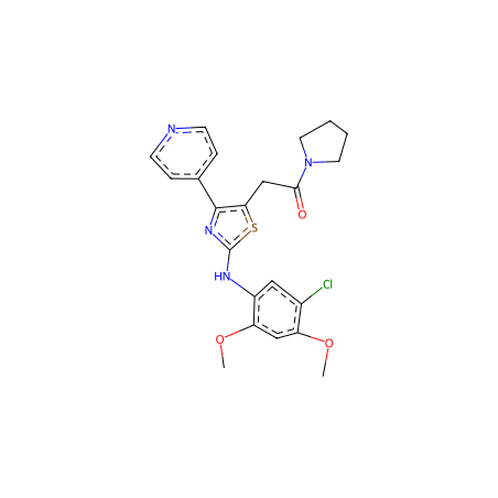 COc1cc(OC)c(Nc2nc(-c3ccncc3)c(CC(=O)N3CCCC3)s2)cc1Cl